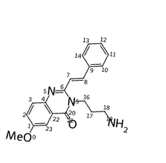 COc1ccc2nc(C=Cc3ccccc3)n(CCCN)c(=O)c2c1